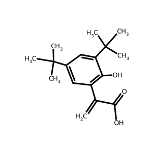 C=C(C(=O)O)c1cc(C(C)(C)C)cc(C(C)(C)C)c1O